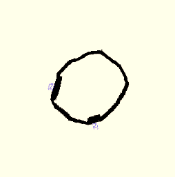 [CH]1CC/C=C\C/C=C\CCC1